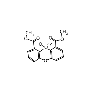 COC(=O)c1cccc2c1[N+]([O-])([O-])c1c(cccc1C(=O)OC)O2